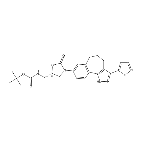 CC(C)(C)OC(=O)NC[C@H]1CN(c2ccc3c(c2)CCCc2c(-c4ccno4)n[nH]c2-3)C(=O)O1